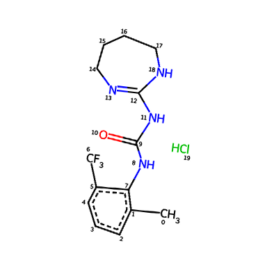 Cc1cccc(C(F)(F)F)c1NC(=O)NC1=NCCCCN1.Cl